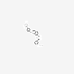 COc1cccc(C(=O)NC(=O)c2ccc3c(c2)CN(Cc2ccc(-c4nn[nH]n4)cc2)C=C3)c1